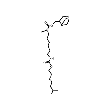 CN(C)CCOCCOC(=O)NCCCCCCN(C)C(=O)OCC1CN2CCN1CC2